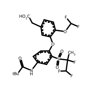 CC(C)(C)C(=O)Nc1ccc(Oc2cc(CC(=O)O)ccc2OC(F)F)c(S(=O)(=O)C(C)(F)C(F)F)c1